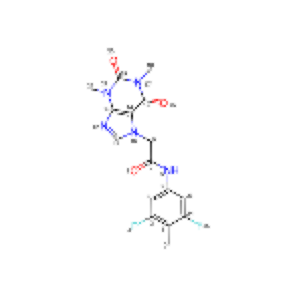 Cc1c(F)cc(NC(=O)Cn2cnc3c2c(=O)n(C)c(=O)n3C)cc1F